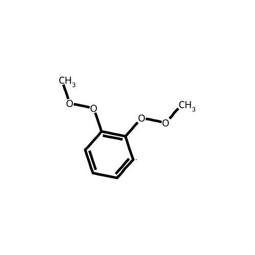 COOc1[c]cccc1OOC